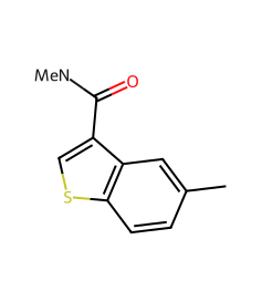 CNC(=O)c1csc2ccc(C)cc12